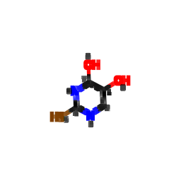 Oc1cnc(S)nc1O